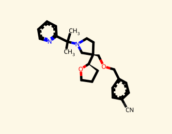 CC(C)(c1ccccn1)N1CC[C@](COCc2ccc(C#N)cc2)([C@H]2CCCO2)C1